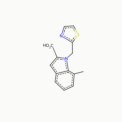 Cc1cccc2cc(C(=O)O)n(Cc3nccs3)c12